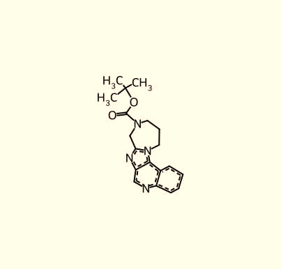 CC(C)(C)OC(=O)N1CCCn2c(nc3cnc4ccccc4c32)C1